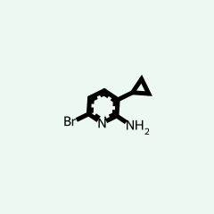 Nc1nc(Br)ccc1C1CC1